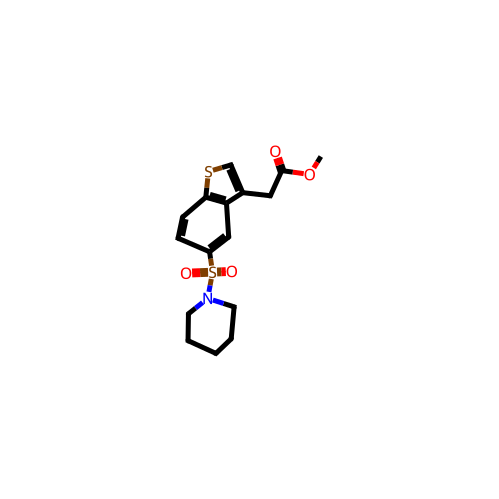 COC(=O)Cc1csc2ccc(S(=O)(=O)N3CCCCC3)cc12